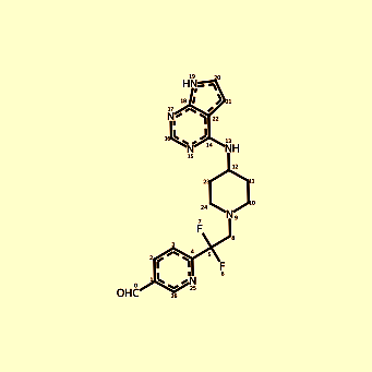 O=Cc1ccc(C(F)(F)CN2CCC(Nc3ncnc4[nH]ccc34)CC2)nc1